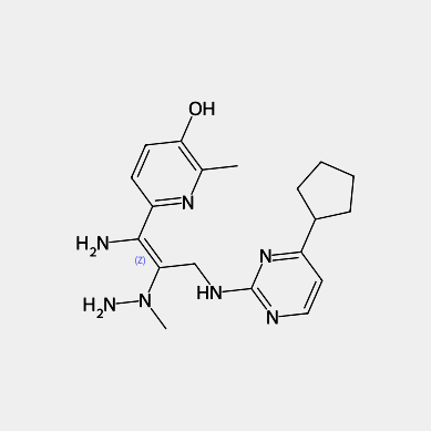 Cc1nc(/C(N)=C(\CNc2nccc(C3CCCC3)n2)N(C)N)ccc1O